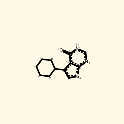 O=c1[nH]cnc2scc(C3CCCCC3)c12